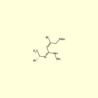 CSC/C(Br)=C\C(=N/[C@@H](C)C(C)C)NC(C)(C)C